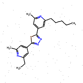 CCCCCc1cc(-c2nnc(-c3cc(C)nc(CC)c3)s2)cc(C)n1